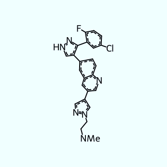 CNCCn1cc(-c2cnc3ccc(-c4c[nH]nc4-c4cc(Cl)ccc4F)cc3c2)cn1